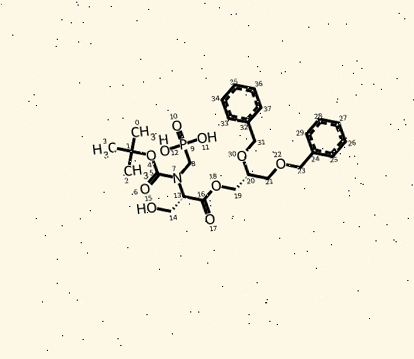 CC(C)(C)OC(=O)N(CP(=O)(O)O)[C@@H](CO)C(=O)OC[C@@H](COCc1ccccc1)OCc1ccccc1